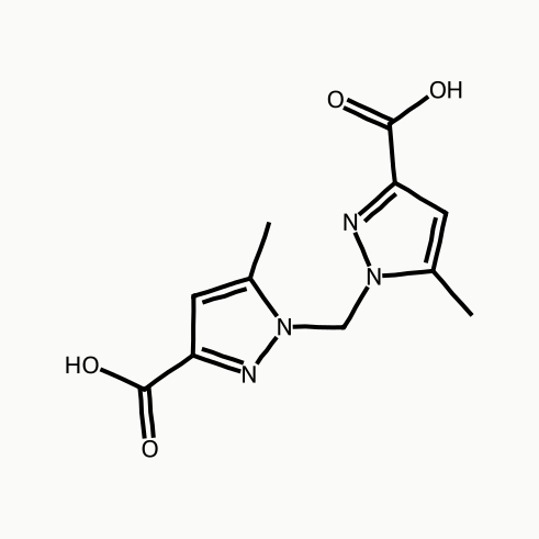 Cc1cc(C(=O)O)nn1Cn1nc(C(=O)O)cc1C